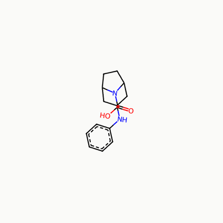 O=C(O)N1C2CCC1CC(Nc1ccccc1)C2